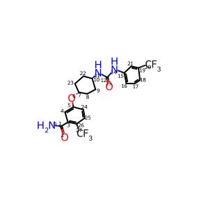 NC(=O)c1cc(O[C@H]2CC[C@H](NC(=O)Nc3cccc(C(F)(F)F)c3)CC2)ccc1C(F)(F)F